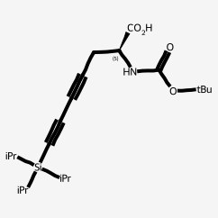 CC(C)[Si](C#CC#CC[C@H](NC(=O)OC(C)(C)C)C(=O)O)(C(C)C)C(C)C